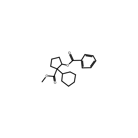 COC(=O)C1(C2CCCCC2)CCCC1OC(=O)c1ccccc1